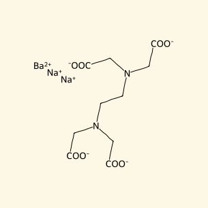 O=C([O-])CN(CCN(CC(=O)[O-])CC(=O)[O-])CC(=O)[O-].[Ba+2].[Na+].[Na+]